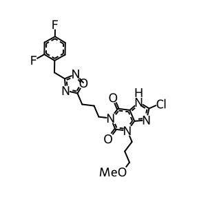 COCCCn1c(=O)n(CCCc2nc(Cc3ccc(F)cc3F)no2)c(=O)c2[nH]c(Cl)nc21